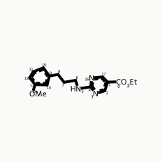 CCOC(=O)c1cnc(NCCCc2cccc(OC)c2)nc1